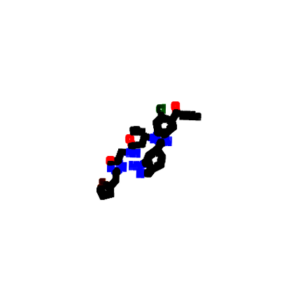 CNC(=O)c1cc2nc(-c3ccc4cn[nH]c4c3)n(C(CC(=O)NCc3nc(Cc4cccs4)no3)C(C)(C)C)c2cc1Cl